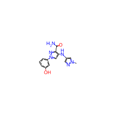 Cn1cc(Nc2cn(-c3cccc(O)c3)nc2C(N)=O)cn1